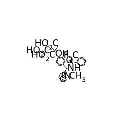 CN1CC2CCC1([C@H](NC(=O)c1ccccc1C(F)(F)F)c1ccccc1)CC2.O=C(O)CC(O)(CC(=O)O)C(=O)O